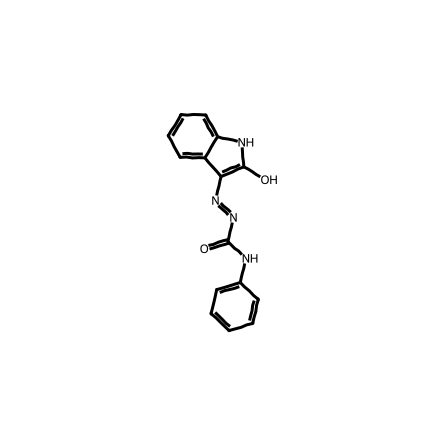 O=C(/N=N/c1c(O)[nH]c2ccccc12)Nc1ccccc1